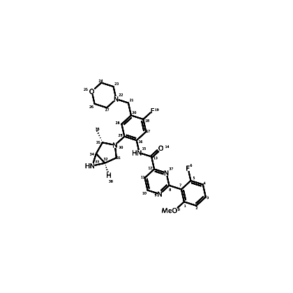 COc1cccc(F)c1-c1nccc(C(=O)Nc2cc(F)c(CN3CCOCC3)cc2N2C[C@H]3NC3[C@@H]2C)n1